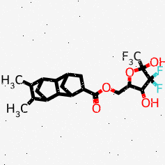 CC1C(C)C2CC1C1C3CC(C(=O)OCC4OC(O)(C(F)(F)F)C(F)(F)C4O)C(C3)C21